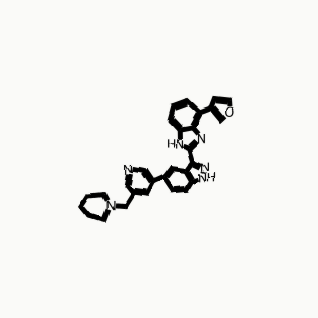 c1cc(-c2ccoc2)c2nc(-c3n[nH]c4ccc(-c5cncc(CN6CCCCC6)c5)cc34)[nH]c2c1